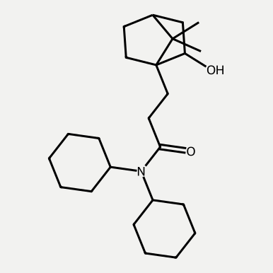 CC1(C)C2CCC1(CCC(=O)N(C1CCCCC1)C1CCCCC1)C(O)C2